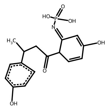 CC(CC(=O)C1C=CC(O)=CC1=NP(=O)(O)O)c1ccc(O)cc1